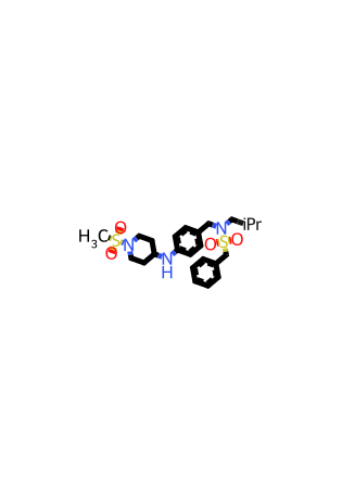 CC(C)CN(Cc1ccc(NC2CCN(S(C)(=O)=O)CC2)cc1)S(=O)(=O)Cc1ccccc1